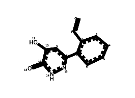 C=Cc1ccccc1-c1cc(O)c(=O)[nH]n1